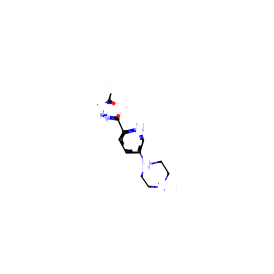 Cc1nnc(-c2ccc(N3CCNCC3)cn2)o1